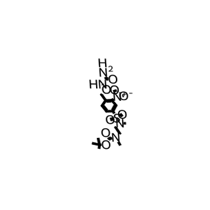 CN(CCN(C)S(=O)(=O)c1ccc(CONC(N)=O)c([N+](=O)[O-])c1)C(=O)OC(C)(C)C